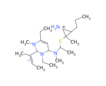 C/C=C(/C)C1N(C)C(CC)=CC(N(C)C(C)SC2(C)C(CCC)[C@H]2N)N1CC